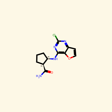 NC(=O)[C@H]1CCC[C@H]1Nc1nc(Cl)nc2ccoc12